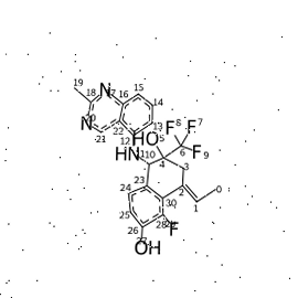 CC=C1CC(O)(C(F)(F)F)C(Nc2cccc3nc(C)ncc23)c2ccc(O)c(F)c21